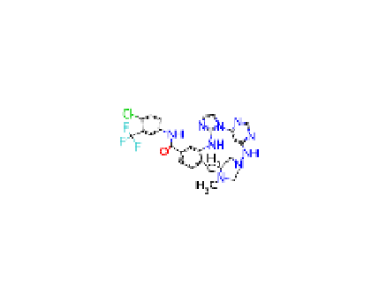 Cc1ccc(C(=O)Nc2ccc(Cl)c(C(F)(F)F)c2)cc1Nc1nccn1-c1cc(NN2CCN(C)CC2)ncn1